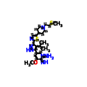 COc1cc(-c2[nH]nc(-c3ncc(C4CCN(CCSC)CC4)s3)c2C(C)C)cn(N)c1=N